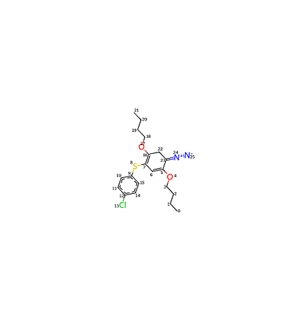 CCCCOC1=CC(Sc2ccc(Cl)cc2)=C(OCCCC)CC1=[N+]=[N-]